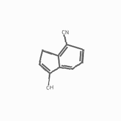 N#Cc1cccc2c1CC=C2O